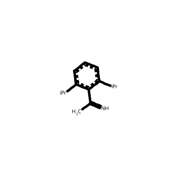 CC(=N)c1c(C(C)C)cccc1C(C)C